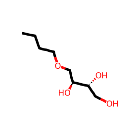 CCCCOC[C@H](O)[C@H](O)CO